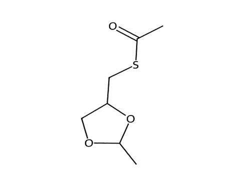 CC(=O)SCC1COC(C)O1